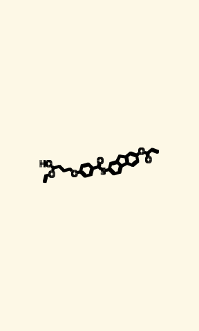 C=COC(O)CCCOc1ccc(C(=O)Sc2ccc3c(c2)Cc2cc(OC(=O)C=C)ccc2-3)cc1